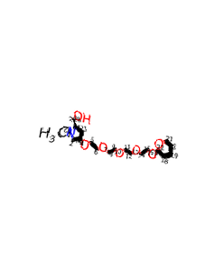 CN1C[C@H](OCCOCCOCCOCCO[C@@H]2CCCCO2)C[C@@H]1CO